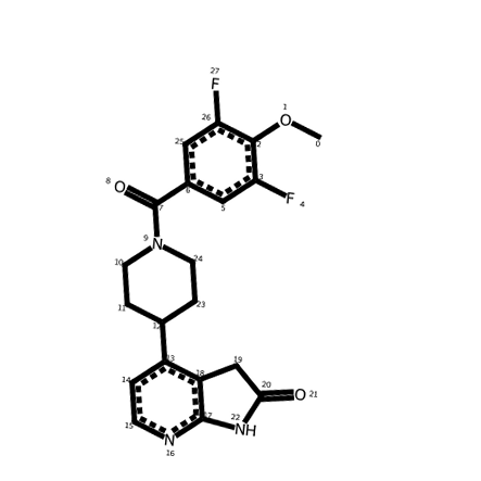 COc1c(F)cc(C(=O)N2CCC(c3ccnc4c3CC(=O)N4)CC2)cc1F